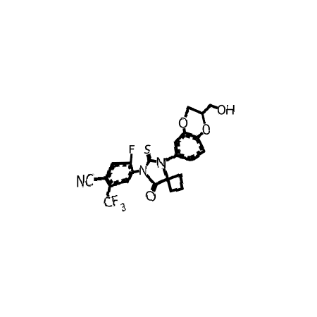 N#Cc1cc(F)c(N2C(=O)C3(CCC3)N(c3ccc4c(c3)OCC(CO)O4)C2=S)cc1C(F)(F)F